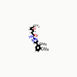 COc1cccc(-c2cnc(NC(=O)CCc3ccc(C)o3)nc2)c1OC